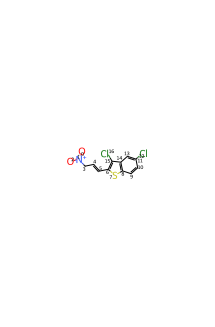 O=[N+]([O-])C/C=C/c1sc2ccc(Cl)cc2c1Cl